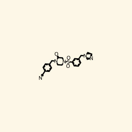 N#Cc1ccc(CN2CCN(S(=O)(=O)c3cccc(Cn4ccnc4)c3)CC2=O)cc1